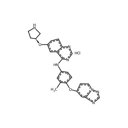 Cc1cc(Nc2ncnc3ccc(O[C@H]4CCNC4)cc23)ccc1Oc1ccn2ncnc2c1.Cl